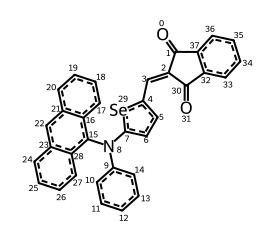 O=C1C(=Cc2ccc(N(c3ccccc3)c3c4ccccc4cc4ccccc34)[se]2)C(=O)c2ccccc21